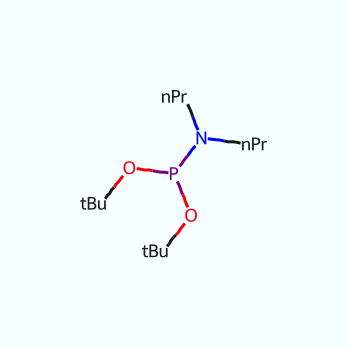 CCCN(CCC)P(OC(C)(C)C)OC(C)(C)C